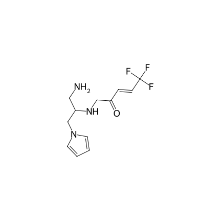 NCC(Cn1cccc1)NCC(=O)C=CC(F)(F)F